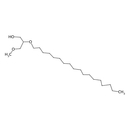 CCCCCCCCCCCCCCCCCCOC(CO)COC